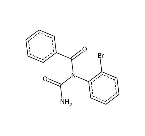 NC(=O)N(C(=O)c1ccccc1)c1ccccc1Br